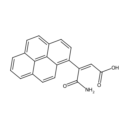 NC(=O)C(=CC(=O)O)c1ccc2ccc3cccc4ccc1c2c34